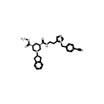 COC(=O)[C@H]1C[C@@H](C(=O)NCCc2cncn2Cc2ccc(C#N)cc2)CN(C2Cc3ccccc3C2)C1